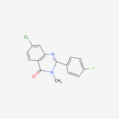 Cn1c(-c2ccc(F)cc2)nc2cc(Cl)ccc2c1=O